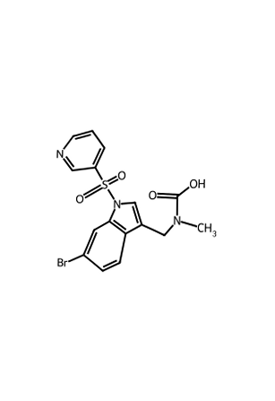 CN(Cc1cn(S(=O)(=O)c2cccnc2)c2cc(Br)ccc12)C(=O)O